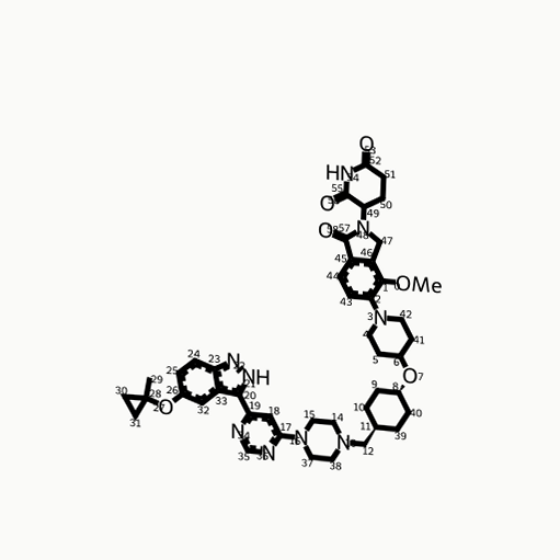 COc1c(N2CCC(O[C@H]3CC[C@H](CN4CCN(c5cc(-c6[nH]nc7ccc(OC8(C)CC8)cc67)ncn5)CC4)CC3)CC2)ccc2c1CN(C1CCC(=O)NC1=O)C2=O